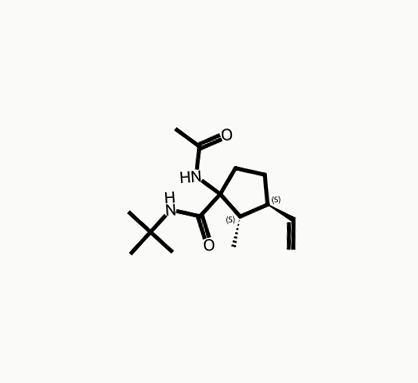 C=C[C@@H]1CCC(NC(C)=O)(C(=O)NC(C)(C)C)[C@H]1C